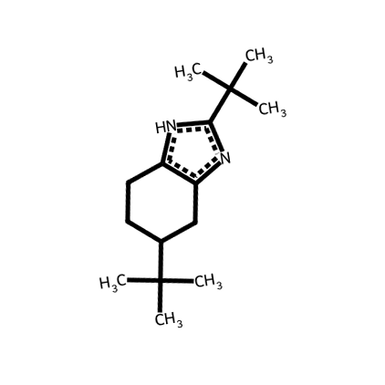 CC(C)(C)c1nc2c([nH]1)CCC(C(C)(C)C)C2